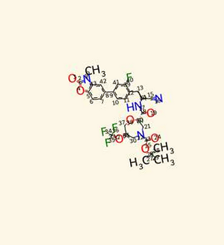 Cn1c(=O)oc2ccc(-c3ccc(C[C@@H](C#N)NC(=O)[C@@H]4CN(C(=O)OC(C)(C)C)C[C@@H](OC(F)(F)F)CO4)c(F)c3)cc21